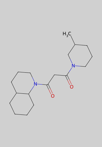 CC1CCCN(C(=O)CC(=O)N2CCCC3CCCCC32)C1